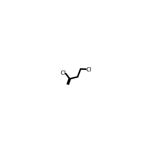 C=C(Cl)CCCl